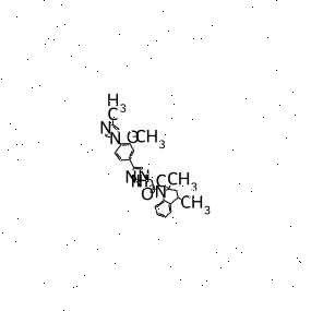 COc1cc(-c2cn(CC(=O)N3c4ccccc4C(C)CC3(C)C)nn2)ccc1-n1cnc(C)c1